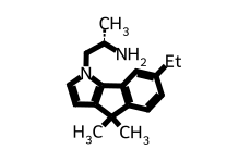 CCc1ccc2c(c1)-c1c(ccn1C[C@H](C)N)C2(C)C